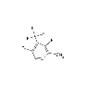 Cc1ccc(F)c(C(F)(F)F)c1F